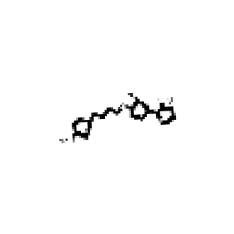 COc1ccc(CCCCOc2ccc(-c3ncccc3C(=O)O)cc2C#N)cc1